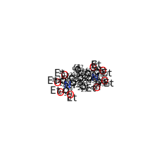 CCOc1cc(OCC)cc(N(c2cc(OCC)cc(OCC)c2)c2ccc3c4c(-c5ccccc5)c5c6ccc(N(c7cc(OCC)cc(OCC)c7)c7cc(OCC)cc(OCC)c7)c7cccc(c5c(-c5ccccc5)c4c4cccc2c43)c76)c1